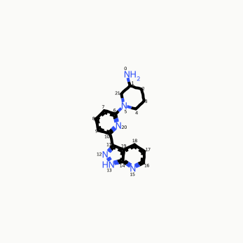 NC1CCCN(c2cccc(-c3n[nH]c4ncccc34)n2)C1